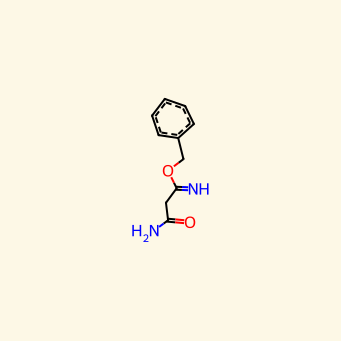 N=C(CC(N)=O)OCc1ccccc1